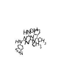 CC(c1ccccc1)N(C)c1nc(NO)nc(Nc2ccc3ncsc3c2)n1